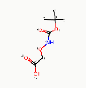 CC(C)(C)OC(=O)NOCC(=O)O